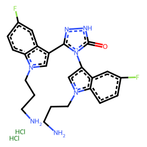 Cl.Cl.NCCCn1cc(-c2n[nH]c(=O)n2-c2cn(CCCN)c3ccc(F)cc23)c2cc(F)ccc21